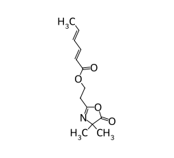 CC=CC=CC(=O)OCCC1=NC(C)(C)C(=O)O1